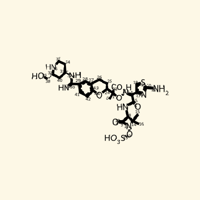 CC(ON=C(C(=O)NC1C(=O)N(OS(=O)(=O)O)C1(C)C)c1csc(N)n1)(C(=O)O)C1CCc2cc(C(=N)N[C@@H]3CCN[C@@H](CO)C3)ccc2O1